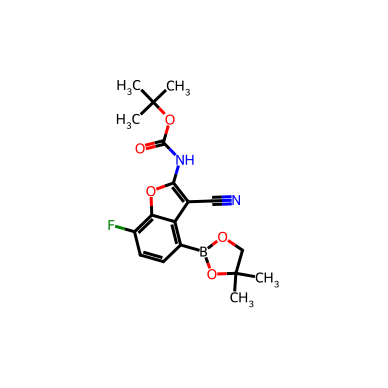 CC(C)(C)OC(=O)Nc1oc2c(F)ccc(B3OCC(C)(C)O3)c2c1C#N